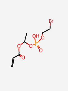 C=CC(=O)OC(C)OP(=O)(O)OCCBr